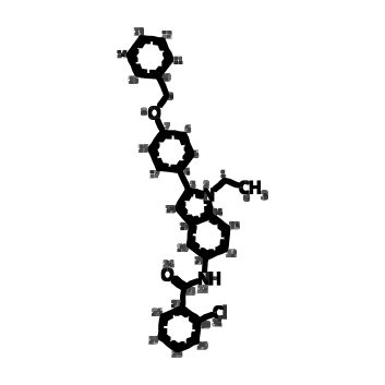 CCn1c(-c2ccc(OCc3ccccc3)cc2)cc2cc(NC(=O)c3ccccc3Cl)ccc21